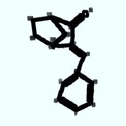 O=C1C(=Cc2ccccc2)N2CCC1C2